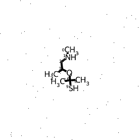 CNCC(C)OC(C)(C)S